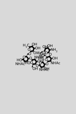 CO[C@@H]1[C@H](OC[C@H]2OC(O)[C@H](NC(C)=O)[C@@H](O)[C@@H]2O[C@@H]2O[C@H](CO)[C@@H](O[C@@H]3O[C@H](CO)[C@@H](O[C@@H]4O[C@H](CO)[C@@H](O[C@@H]5O[C@H](CO)[C@@H](O)[C@H](O)[C@H]5N)[C@H](O)[C@H]4NC(C)=O)[C@H](O)[C@H]3NC(C)=O)[C@H](O)[C@H]2NC(C)=O)O[C@@H](C)[C@@H](O)[C@H]1O